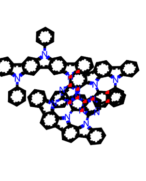 c1ccc(-c2nc(-n3c4ccccc4c4cc5c(cc43)c3cc4c(cc3n5-c3ccccc3)c3ccccc3n4-c3ccccc3)nc(-n3c4ccccc4c4ccc5c6ccc7c8ccccc8n(-c8nc(-c9ccccc9)nc(-n9c%10ccccc%10c%10ccc%11c%12ccc%13c%14ccccc%14n(-c%14ccccc%14)c%13c%12n(-c%12ccccc%12)c%11c%109)n8)c7c6n(-c6ccccc6)c5c43)n2)cc1